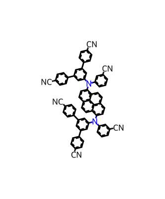 N#Cc1ccc(-c2cc(-c3ccc(C#N)cc3)cc(N(c3cccc(C#N)c3)c3ccc4ccc5c(N(c6cccc(C#N)c6)c6cc(-c7ccc(C#N)cc7)cc(-c7ccc(C#N)cc7)c6)ccc6ccc3c4c65)c2)cc1